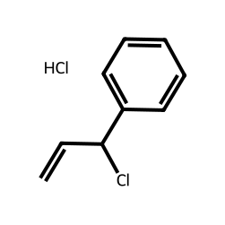 C=CC(Cl)c1ccccc1.Cl